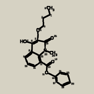 CCCCOc1c(O)c2cccc(C(=O)Oc3ccccc3)c2n(C)c1=O